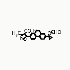 Cc1noc(-c2ccc3c(c2)CCc2cc(C4(OC=O)CC4)ccc2-3)c1C(=O)O